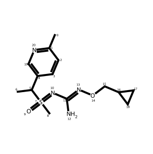 Cc1ccc(C(C)S(C)(=O)=N/C(N)=N/OCC2CC2)cn1